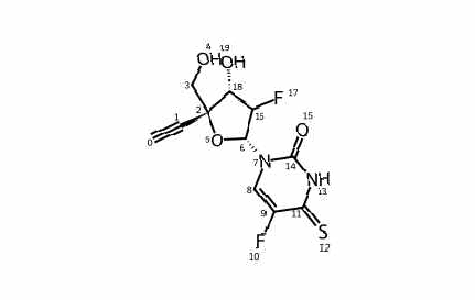 C#C[C@]1(CO)O[C@@H](n2cc(F)c(=S)[nH]c2=O)C(F)[C@H]1O